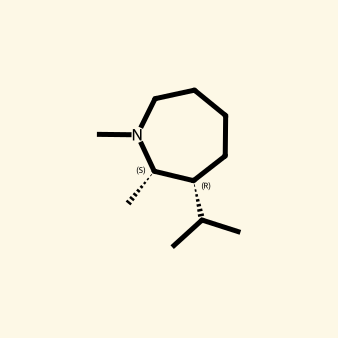 CC(C)[C@H]1CCCCN(C)[C@H]1C